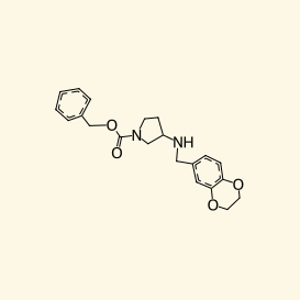 O=C(OCc1ccccc1)N1CCC(NCc2ccc3c(c2)OCCO3)C1